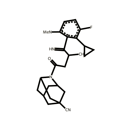 CNc1ccc(F)c(C2CC2)c1C(=N)C(C)CC(=O)N1C2CC3CC1CC(C#N)(C3)C2